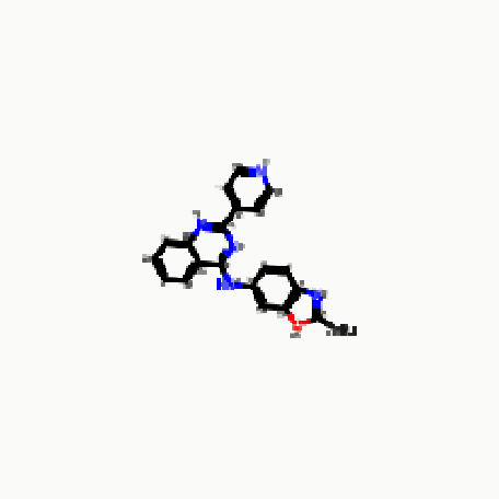 CCCCc1nc2ccc(Nc3nc(-c4ccncc4)nc4ccccc34)cc2o1